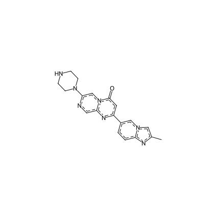 Cc1cn2cc(-c3cc(=O)n4cc(N5CCNCC5)ncc4n3)ccc2n1